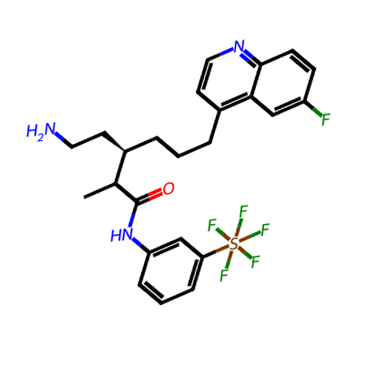 CC(C(=O)Nc1cccc(S(F)(F)(F)(F)F)c1)[C@@H](CCN)CCCc1ccnc2ccc(F)cc12